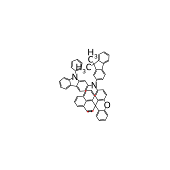 CC1(C)c2ccccc2-c2ccc(N(c3ccc4c(c3)C3(c5ccccc5O4)c4ccccc4-c4cccc5cccc3c45)c3ccc4c5ccccc5n(-c5ccccc5)c4c3)cc21